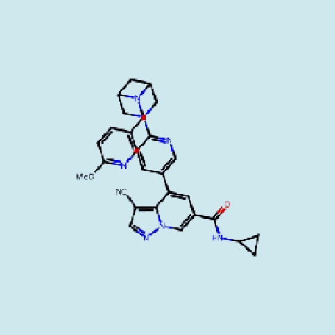 COc1ccc(CN2C3CC2CN(c2ccc(-c4cc(C(=O)NC5CC5)cn5ncc(C#N)c45)cn2)C3)cn1